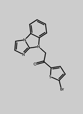 O=C(Cn1c2ccccc2n2ccnc12)c1ccc(Br)s1